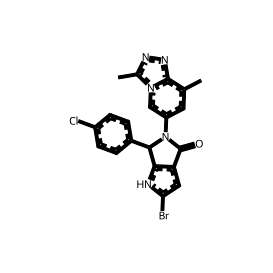 Cc1cc(N2C(=O)c3cc(Br)[nH]c3C2c2ccc(Cl)cc2)cn2c(C)nnc12